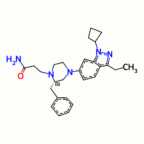 CCc1nn(C2CCC2)c2cc(N3CCN(CCC(N)=O)[C@@H](Cc4ccccc4)C3)ccc12